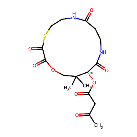 CC(=O)CC(=O)O[C@H]1C(=O)NCCC(=O)NCCSC(=O)C(=O)OCC1(C)C